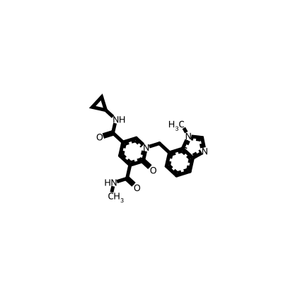 CNC(=O)c1cc(C(=O)NC2CC2)cn(Cc2cccc3ncn(C)c23)c1=O